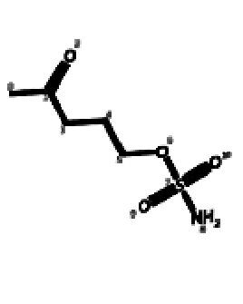 CC(=O)CCCOS(N)(=O)=O